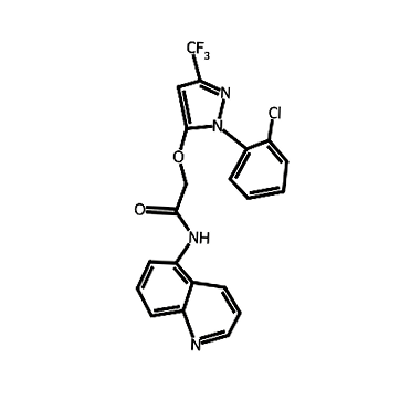 O=C(COc1cc(C(F)(F)F)nn1-c1ccccc1Cl)Nc1cccc2ncccc12